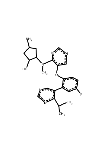 CC(C)c1ncncc1-c1cc(F)ccc1Oc1cncnc1N(C)C1CC(N)CC1O